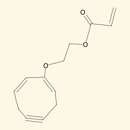 C=CC(=O)OCCOC1=C/CC#CC/C=C\1